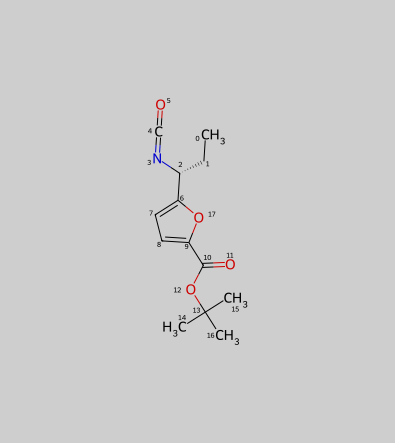 CC[C@@H](N=C=O)c1ccc(C(=O)OC(C)(C)C)o1